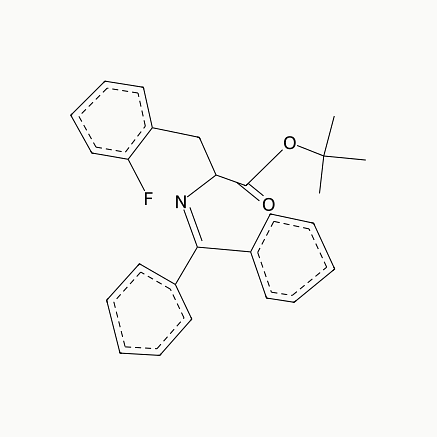 CC(C)(C)OC(=O)C(Cc1ccccc1F)N=C(c1ccccc1)c1ccccc1